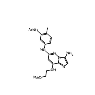 COCCNc1cc(Nc2ccc(C)c(NC(C)=O)c2)nn2c(N)cnc12